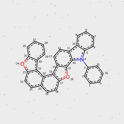 c1ccc(-n2c3ccccc3c3ccc4c(oc5ccc6ccc7oc8ccccc8c7c6c54)c32)cc1